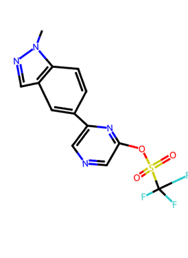 Cn1ncc2cc(-c3cncc(OS(=O)(=O)C(F)(F)F)n3)ccc21